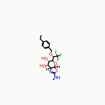 CCc1ccc(CO[C@H](C2O[C@@H]3SC(NC)=N[C@@H]3[C@@H](O)[C@@H]2O)C(F)(F)F)cc1